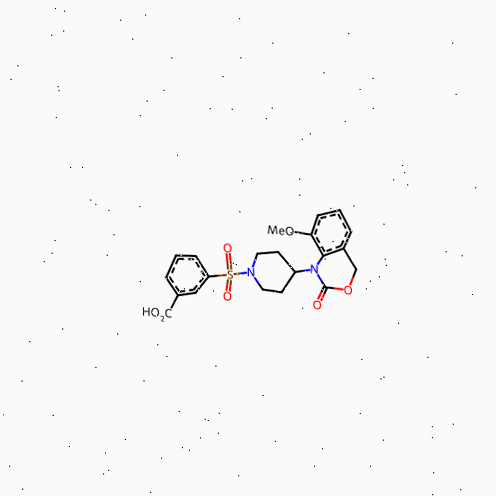 COc1cccc2c1N(C1CCN(S(=O)(=O)c3cccc(C(=O)O)c3)CC1)C(=O)OC2